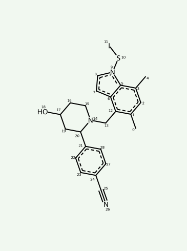 Cc1cc(C)c2c(ccn2SI)c1CN1CCC(O)CC1c1ccc(C#N)cc1